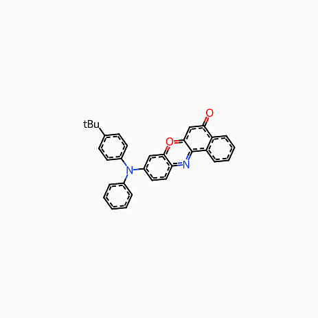 CC(C)(C)c1ccc(N(c2ccccc2)c2ccc3nc4c5ccccc5c(=O)cc-4oc3c2)cc1